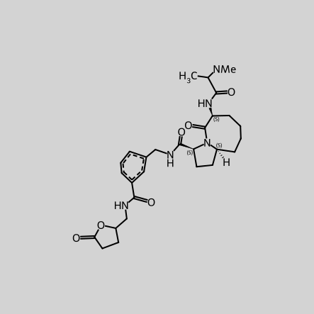 CNC(C)C(=O)N[C@H]1CCCC[C@H]2CC[C@@H](C(=O)NCc3cccc(C(=O)NCC4CCC(=O)O4)c3)N2C1=O